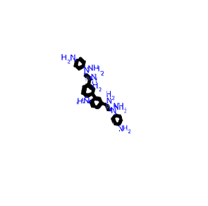 N/C(=C\N(N)c1ccc(N)cc1)c1ccc2[nH]c3ccc(/C(N)=C/N(N)c4ccc(N)cc4)cc3c2c1